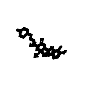 CCCC1(CC)N=C(NCCCC2CCN(C)CC2)NC=C1c1nc2c(C)c(F)ccc2[nH]1